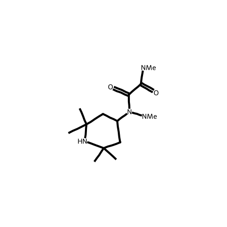 CNC(=O)C(=O)N(NC)C1CC(C)(C)NC(C)(C)C1